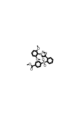 COC(=O)c1ccc(S(=O)(=O)c2ccccc2-c2cn(-c3c(OC)cccc3OC)nn2)cc1